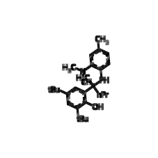 CCCC(C)(Pc1ccc(C)cc1N(C)C)c1cc(C(C)(C)C)cc(C(C)(C)C)c1O